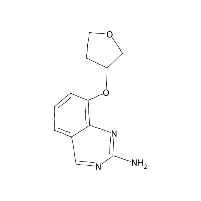 Nc1ncc2cccc(OC3CCOC3)c2n1